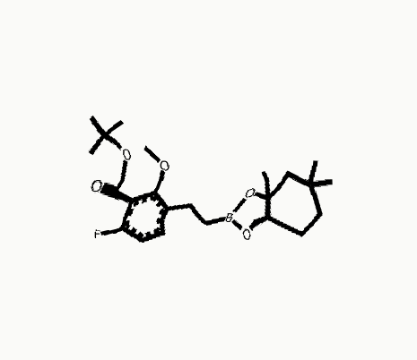 COc1c(CCB2OC3CCC(C)(C)CC3(C)O2)ccc(F)c1C(=O)OC(C)(C)C